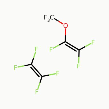 FC(F)=C(F)F.FC(F)=C(F)OC(F)(F)F